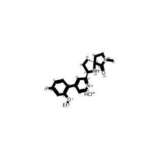 CCOc1cc(F)ccc1-c1ccnc([C@H]2CC[C@@]3(CCN(C)C3=O)N2)c1.Cl